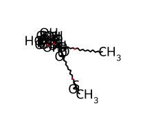 CCCCCCCCCCCCCCCC(=O)O[C@H](COC(=O)CCCCCCCCCCCCSC(=O)CCC)COP(=O)(O)OC1C(O)[C@@H](O)C(OP(=O)(O)O)[C@@H](OP(=O)(O)O)[C@H]1O